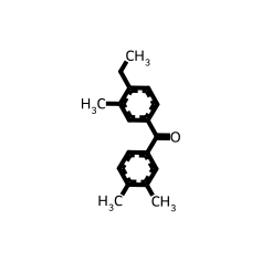 CCc1ccc(C(=O)c2ccc(C)c(C)c2)cc1C